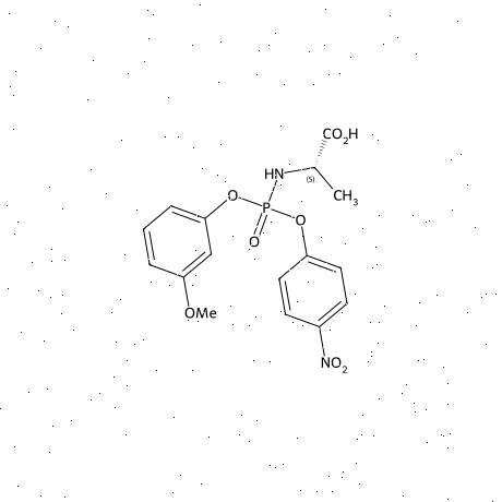 COc1cccc(OP(=O)(N[C@@H](C)C(=O)O)Oc2ccc([N+](=O)[O-])cc2)c1